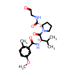 COc1ccc(C)c(C(=O)N[C@H](C(=O)N2CCC[C@H]2C(=O)NCC=O)C(C)C)c1